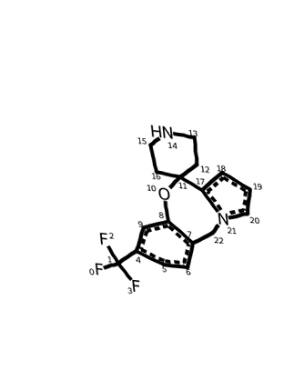 FC(F)(F)c1ccc2c(c1)OC1(CCNCC1)c1cccn1C2